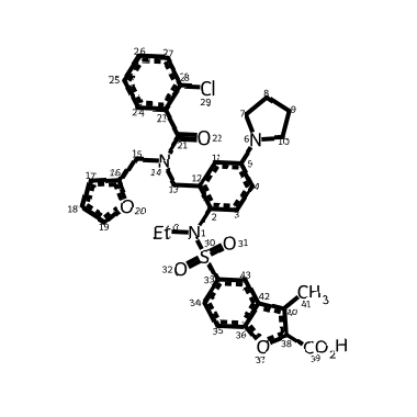 CCN(c1ccc(N2CCCC2)cc1CN(Cc1ccco1)C(=O)c1ccccc1Cl)S(=O)(=O)c1ccc2oc(C(=O)O)c(C)c2c1